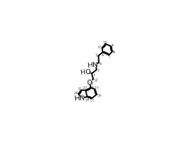 OC(CNCCc1ccccc1)COc1cccc2[nH]ccc12